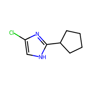 Clc1c[nH]c(C2CCCC2)n1